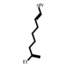 C=C(CC)CCCCC=CCCC